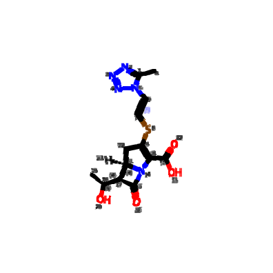 Cc1nnnn1/C=C/SC1=C(C(=O)O)N2C(=O)[C@@H]([C@H](C)O)[C@H]2C1